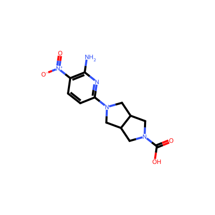 Nc1nc(N2CC3CN(C(=O)O)CC3C2)ccc1[N+](=O)[O-]